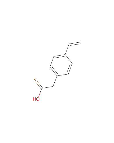 C=Cc1ccc(CC(O)=S)cc1